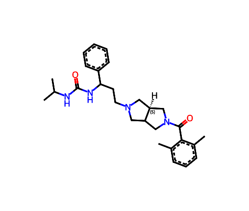 Cc1cccc(C)c1C(=O)N1CC2CN(CCC(NC(=O)NC(C)C)c3ccccc3)C[C@H]2C1